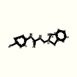 Fc1ccc(NC(=S)NCN2Cc3ccccc3N2)cc1